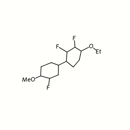 CCOC1CCC(C2CCC(OC)C(F)C2)C(F)C1F